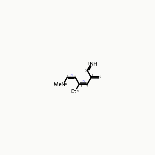 C=C(C=N)/C=C(\C=C/NC)CC